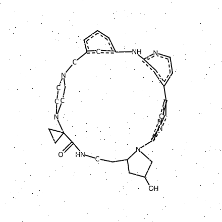 O=C1NCCC2CC(O)CN2c2ncc(cn2)-c2ccnc(c2)Nc2cccc(c2)CN2CCN(CC2)C12CC2